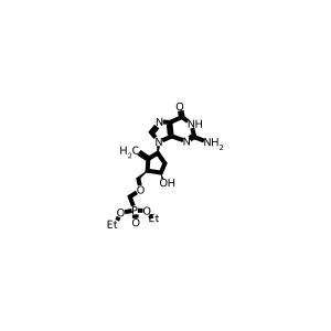 C=C1[C@H](COCP(=O)(OCC)OCC)[C@@H](O)C[C@@H]1n1cnc2c(=O)[nH]c(N)nc21